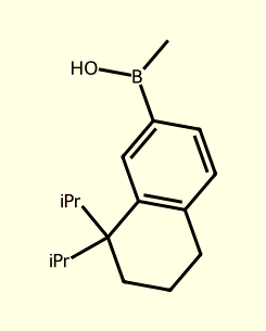 CB(O)c1ccc2c(c1)C(C(C)C)(C(C)C)CCC2